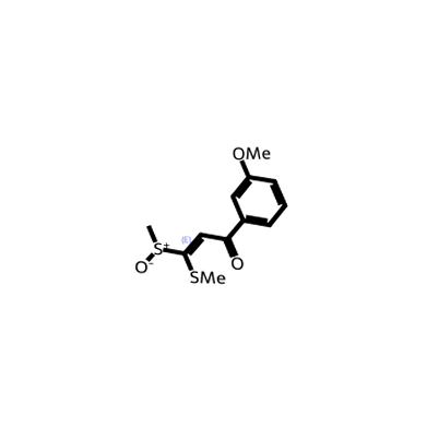 COc1cccc(C(=O)/C=C(\SC)[S+](C)[O-])c1